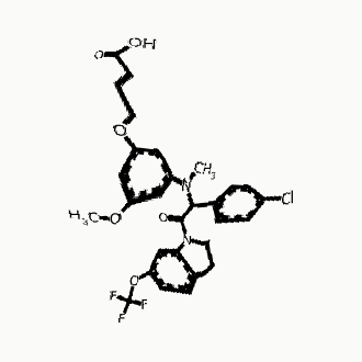 COc1cc(OCCCC(=O)O)cc(N(C)C(C(=O)N2CCc3ccc(OC(F)(F)F)cc32)c2ccc(Cl)cc2)c1